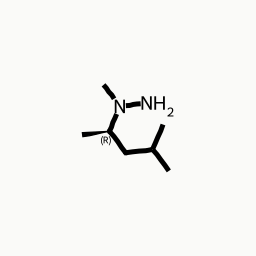 CC(C)C[C@@H](C)N(C)N